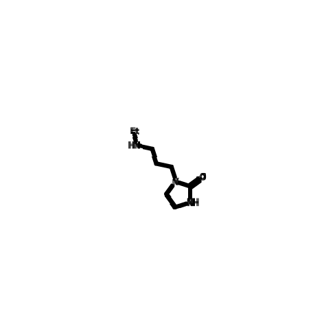 CCNCCCN1CCNC1=O